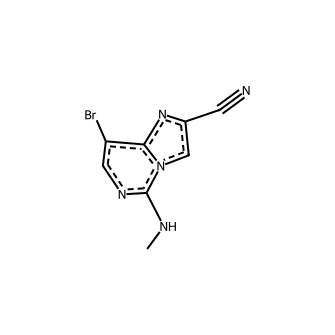 CNc1ncc(Br)c2nc(C#N)cn12